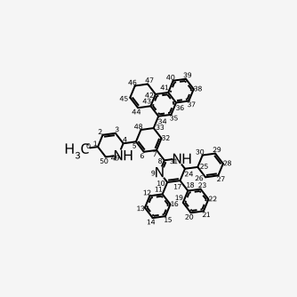 CC1C=CC(C2=CC(C3=NC(c4ccccc4)=C(c4ccccc4)C(C4C=CC=CC4)N3)=CC(c3cc4ccccc4c4c3C=CCC4)C2)NC1